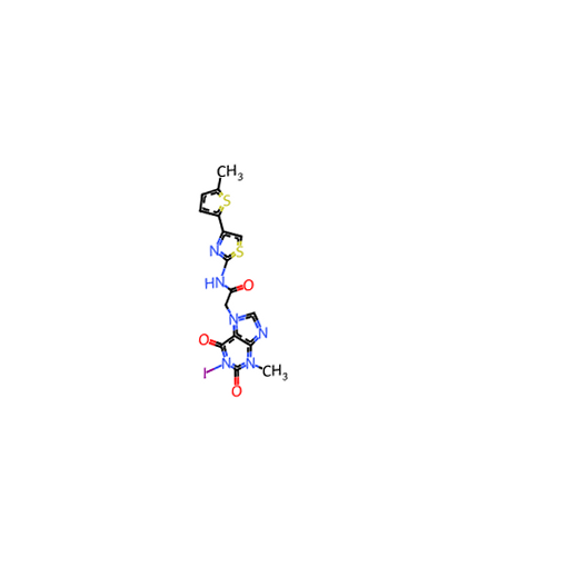 Cc1ccc(-c2csc(NC(=O)Cn3cnc4c3c(=O)n(I)c(=O)n4C)n2)s1